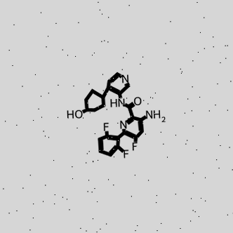 Nc1cc(F)c(-c2c(F)cccc2F)nc1C(=O)Nc1cnccc1C1CCC(O)CC1